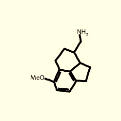 COc1ccc2c3c1CCC(CN)C3CC2